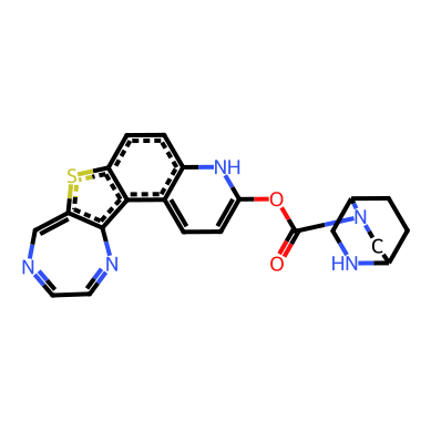 O=C(OC1=CC=c2c(ccc3sc4c(c23)N=CC=NC=4)N1)N1CC2CCC1CN2